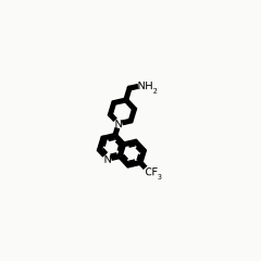 NCC1CCN(c2ccnc3cc(C(F)(F)F)ccc23)CC1